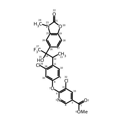 COC(=O)c1cnc(Oc2ccc(C(C)C(O)(c3ccc4oc(=O)n(C)c4c3)C(F)(F)F)c(Cl)c2)c(Cl)c1